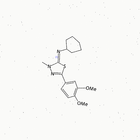 COc1ccc(-c2nn(C)/c(=N/C3CCCCC3)s2)cc1OC